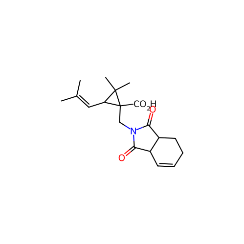 CC(C)=CC1C(C)(C)C1(CN1C(=O)C2C=CCCC2C1=O)C(=O)O